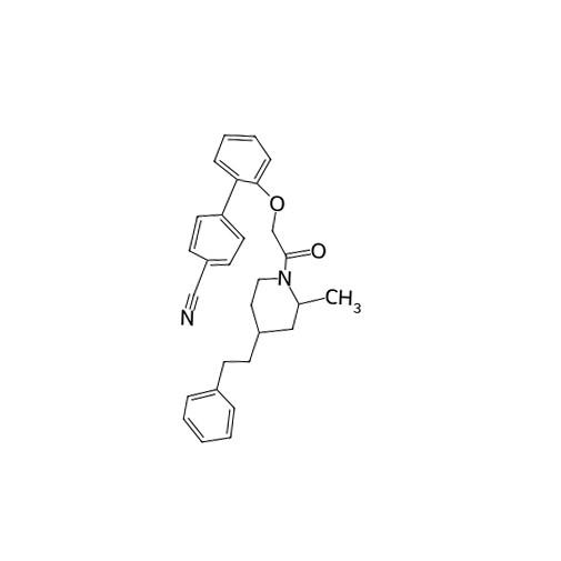 CC1CC(CCc2ccccc2)CCN1C(=O)COc1ccccc1-c1ccc(C#N)cc1